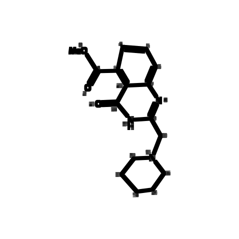 COC(=O)c1cccc2nc(CN3CCCCC3)[nH]c(=O)c12